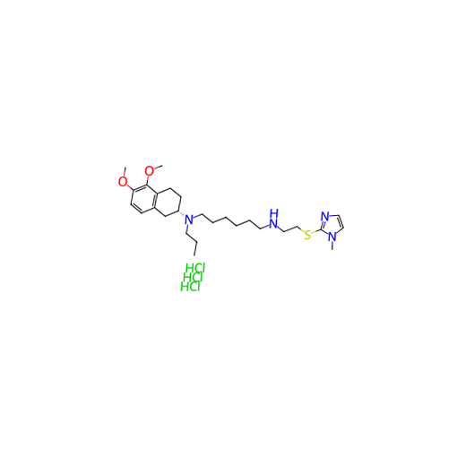 CCCN(CCCCCCNCCSc1nccn1C)[C@H]1CCc2c(ccc(OC)c2OC)C1.Cl.Cl.Cl